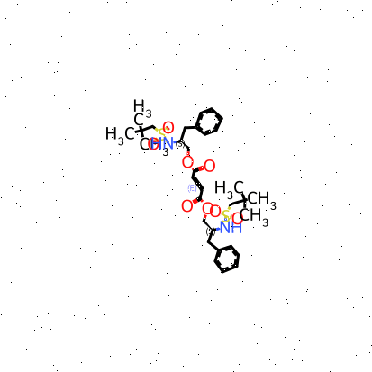 CC(C)(C)CS(=O)(=O)N[C@H](COC(=O)/C=C/C(=O)OC[C@H](Cc1ccccc1)NS(=O)(=O)CC(C)(C)C)Cc1ccccc1